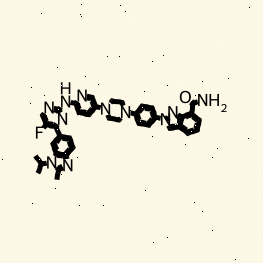 Cc1nc2ccc(-c3nc(Nc4ccc(N5CCN(c6ccc(-n7cc8cccc(C(N)=O)c8n7)cc6)CC5)cn4)ncc3F)cc2n1C(C)C